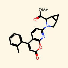 COC(=O)C1C2CC2CN1c1ccc2c(-c3ccccc3C)cc(=O)oc2n1